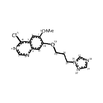 COc1cc2c(Cl)ncnc2cc1OCCCn1cncn1